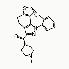 CN1CCN(C(=O)c2nn(-c3ccccc3Cl)c3c2CCc2sccc2-3)CC1